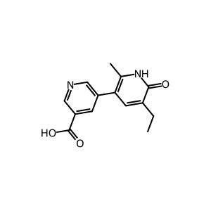 CCc1cc(-c2cncc(C(=O)O)c2)c(C)[nH]c1=O